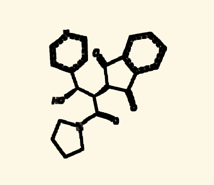 O=C1c2ccccc2C(=O)C1[C@@H](C(=O)N1CCCC1)[C@@H](O)c1ccncc1